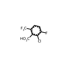 O=C(O)c1c(C(F)(F)F)ccc(F)c1Cl